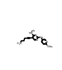 CCCNc1nc(Nc2ccc(OC)nc2)ncc1C#CCCCN